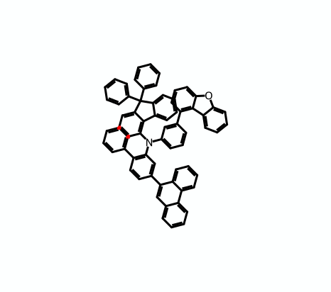 c1ccc(-c2ccc(-c3cc4ccccc4c4ccccc34)cc2N(c2cccc(-c3cccc4oc5ccccc5c34)c2)c2cccc3c2-c2ccccc2C3(c2ccccc2)c2ccccc2)cc1